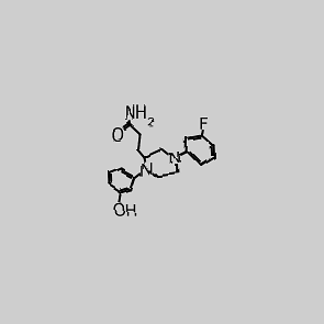 NC(=O)CCC1CN(c2cccc(F)c2)CCN1c1cccc(O)c1